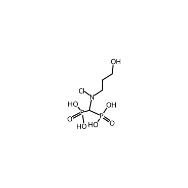 O=P(O)(O)C(N(Cl)CCCO)P(=O)(O)O